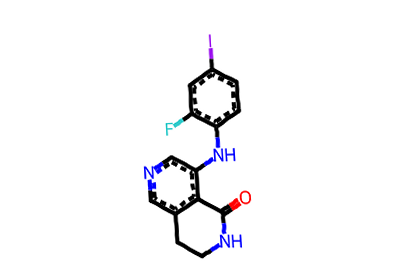 O=C1NCCc2cncc(Nc3ccc(I)cc3F)c21